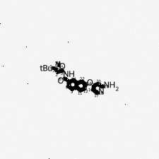 CC(C)(C)c1cc(NC(=O)c2ccc3ccc(Oc4ccnc(N)c4)cc3c2)on1